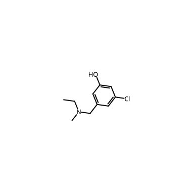 CCN(C)Cc1cc(O)cc(Cl)c1